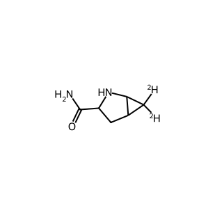 [2H]C1([2H])C2CC(C(N)=O)NC21